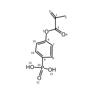 C=C(C)C(=O)Oc1ccc(P(=O)(O)O)cc1